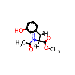 [2H][C@H](c1cccc(O)c1)[C@@]([2H])(NC(C)=O)C(=O)OC